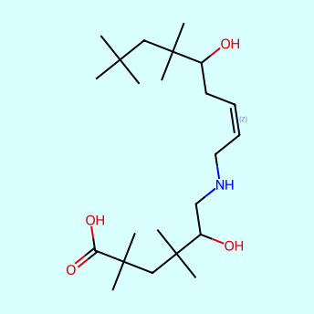 CC(C)(C)CC(C)(C)C(O)C/C=C\CNCC(O)C(C)(C)CC(C)(C)C(=O)O